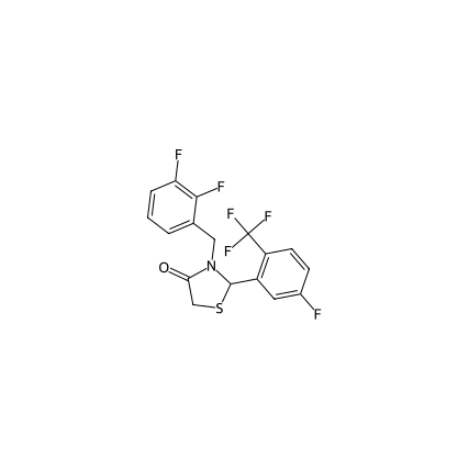 O=C1CSC(c2cc(F)ccc2C(F)(F)F)N1Cc1cccc(F)c1F